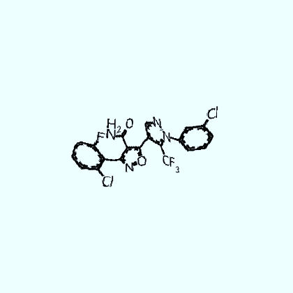 NC(=O)c1c(-c2c(F)cccc2Cl)noc1-c1cnn(-c2cccc(Cl)c2)c1C(F)(F)F